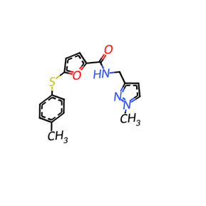 Cc1ccc(Sc2ccc(C(=O)NCc3ccn(C)n3)o2)cc1